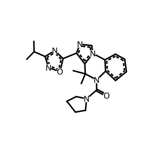 CC(C)c1noc(-c2ncn3c2C(C)(C)N(C(=O)N2CCCC2)c2ccccc2-3)n1